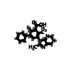 Cc1c(-n2c(C)nc3cncnc32)cc(-c2ccccc2)c(F)c1C(=O)O